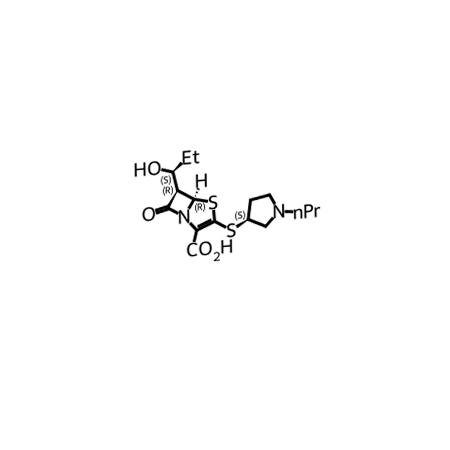 CCCN1CC[C@H](SC2=C(C(=O)O)N3C(=O)[C@@H]([C@@H](O)CC)[C@H]3S2)C1